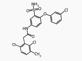 Cc1ccc(Cl)c(CC(=O)Nc2ccc(Oc3cccc(Cl)c3)c(S(N)(=O)=O)c2)c1Cl